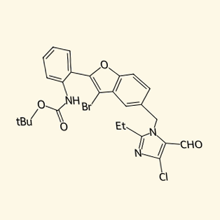 CCc1nc(Cl)c(C=O)n1Cc1ccc2oc(-c3ccccc3NC(=O)OC(C)(C)C)c(Br)c2c1